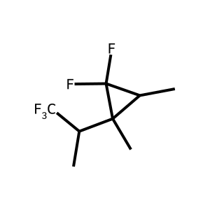 CC(C(F)(F)F)C1(C)C(C)C1(F)F